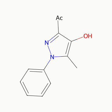 CC(=O)c1nn(-c2ccccc2)c(C)c1O